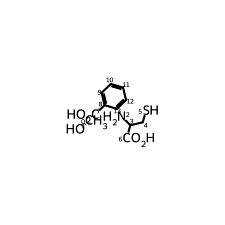 CO.NC(CS)C(=O)O.O=C(O)c1ccccc1